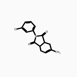 CC1=CCC2C(=O)N(c3cccc(Cl)c3)C(=O)C2C1